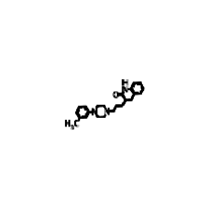 Cc1cccc(N2CCN(CC=CC3Cc4ccccc4NC3=O)CC2)c1